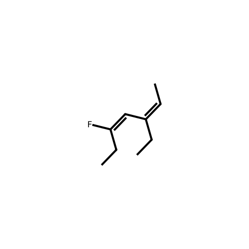 C/C=C(\C=C(\F)CC)CC